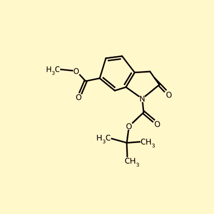 COC(=O)c1ccc2c(c1)N(C(=O)OC(C)(C)C)C(=O)C2